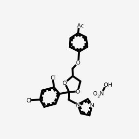 CC(=O)c1ccc(OCC2COC(Cn3ccnc3)(c3ccc(Cl)cc3Cl)O2)cc1.O=[N+]([O-])O